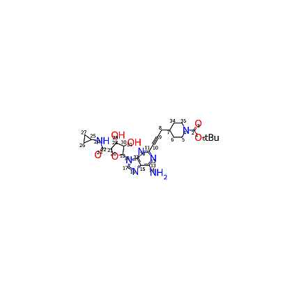 CC(C)(C)OC(=O)N1CCC(CC#Cc2nc(N)c3ncn([C@@H]4O[C@H](C(=O)NC5CC5)[C@H](O)C4O)c3n2)CC1